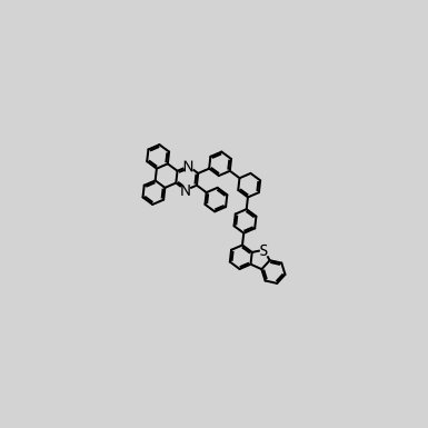 C1=CC(c2ccc(-c3cccc4c3sc3ccccc34)cc2)=CC(c2cccc(-c3nc4c5ccccc5c5ccccc5c4nc3-c3ccccc3)c2)C1